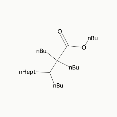 CCCCCCCC(CCCC)C(CCCC)(CCCC)C(=O)OCCCC